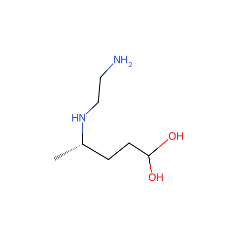 C[C@@H](CCC(O)O)NCCN